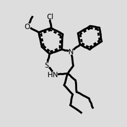 CCCCC1(CCCC)CN(c2ccccc2)c2cc(Cl)c(OC)cc2SN1